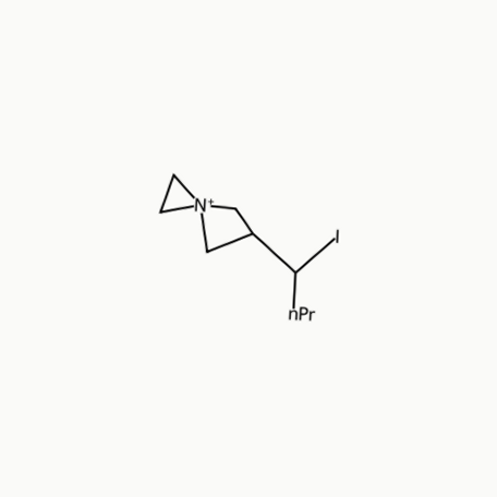 CCCC(I)C1C[N+]2(CC2)C1